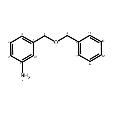 Nc1cccc(COCc2ccccc2)c1